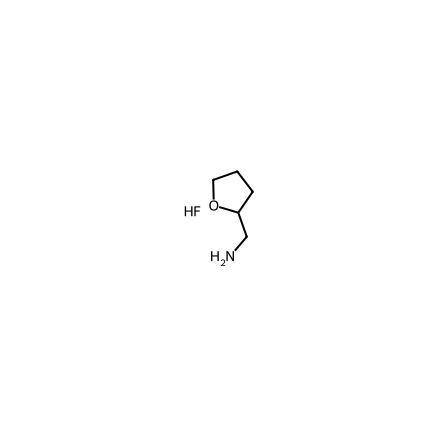 F.NCC1CCCO1